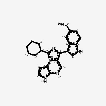 COc1ccc2[nH]cc(-c3nc(C4CCCCC4)n4c3cnc3[nH]ccc34)c2c1